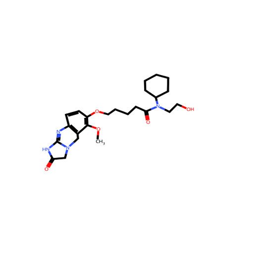 COc1c(OCCCCC(=O)N(CCO)C2CCCCC2)ccc2c1CN1CC(=O)NC1=N2